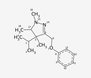 CC(C)C1(C)C(COc2ccccc2)=NN(C)C1C